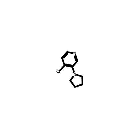 Clc1ccncc1N1CCCC1